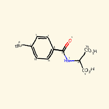 CC(C)(C)c1ccc(C(=O)NC(C(=O)O)C(=O)O)cc1